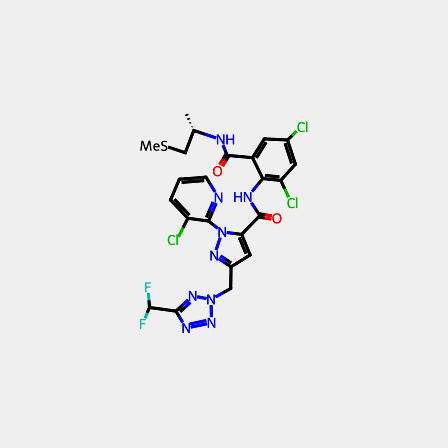 CSC[C@H](C)NC(=O)c1cc(Cl)cc(Cl)c1NC(=O)c1cc(Cn2nnc(C(F)F)n2)nn1-c1ncccc1Cl